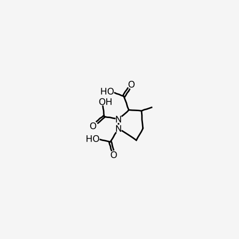 CC1CCN(C(=O)O)N(C(=O)O)C1C(=O)O